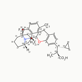 C[C@H](C(=O)O)[C@H](c1ccc2c(c1)OC(C1C[C@H]3CCC[C@@H](C1)N3[C@H](C)c1cc(C(F)(F)F)ccc1C(F)(F)F)CC2)C1CC1